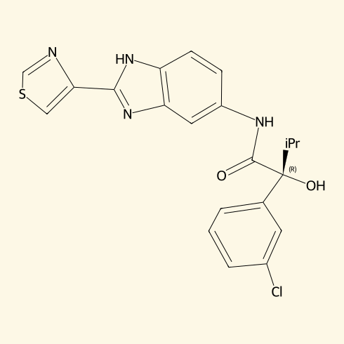 CC(C)[C@](O)(C(=O)Nc1ccc2[nH]c(-c3cscn3)nc2c1)c1cccc(Cl)c1